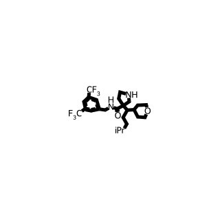 CC(C)CCC(C1CCOCC1)C1(C(=O)NCc2cc(C(F)(F)F)cc(C(F)(F)F)c2)CCNC1